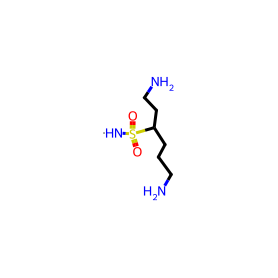 [NH]S(=O)(=O)C(CCN)CCCN